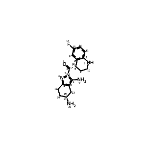 Nc1c2c(nn1C(=O)[C@H]1CCNc3ccc(F)cc31)CC[C@H](N)C2